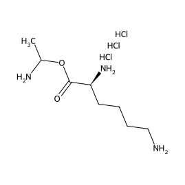 CC(N)OC(=O)[C@@H](N)CCCCN.Cl.Cl.Cl